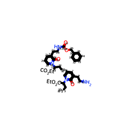 CCOC(=O)C(CC(C)C)n1cccc(CCN)c1=O.CCOC(=O)C(CC(C)C)n1cccc(CCNC(=O)OCc2ccccc2)c1=O